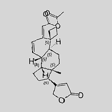 CC(=O)OC[C@]12CCC(=O)C=C1C=C[C@H]1[C@H]3CC[C@H](C4=CC(=O)OC4)[C@@]3(C)CC[C@@H]12